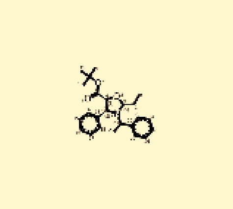 CC[C@@H]1O[C@H](C(=O)OC(C)(C)C)[C@H](c2ccccc2)N1C(C)c1ccccc1